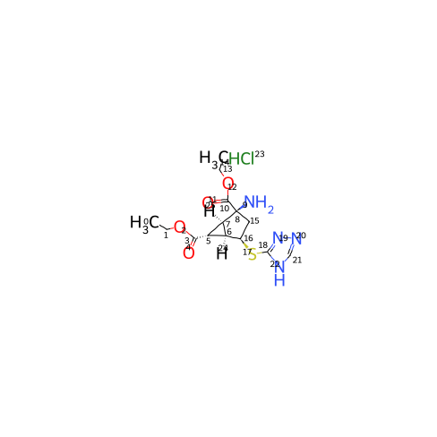 CCOC(=O)[C@H]1[C@H]2[C@@H]1[C@](N)(C(=O)OCC)C[C@H]2Sc1nnc[nH]1.Cl